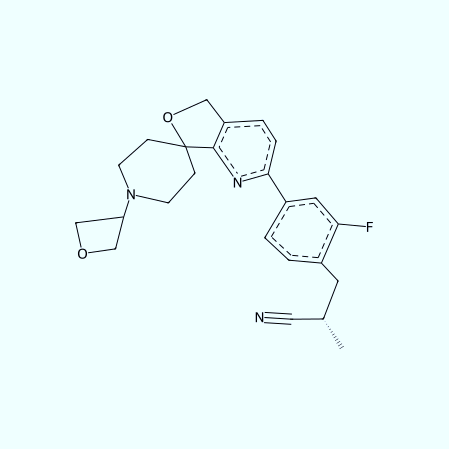 C[C@H](C#N)Cc1ccc(-c2ccc3c(n2)C2(CCN(C4COC4)CC2)OC3)cc1F